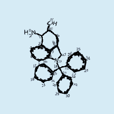 NC1c2cccc3c2C(CC1O)CN3C(c1ccccc1)(c1ccccc1)c1ccccc1